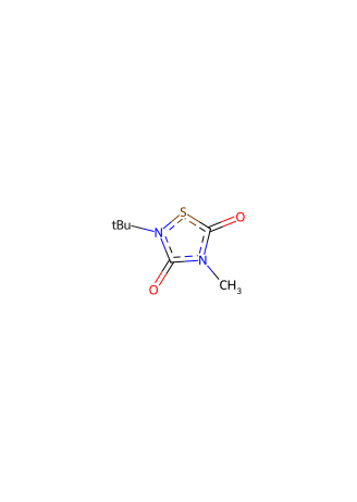 Cn1c(=O)sn(C(C)(C)C)c1=O